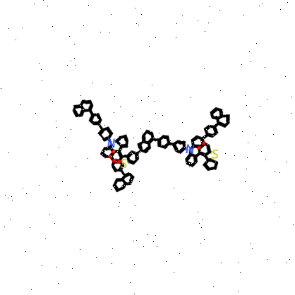 C1=Cc2c(sc3cccc(-c4ccccc4N(c4ccc(-c5ccc(-c6cccc7ccccc67)cc5)cc4)c4ccc(-c5ccc(-c6cccc7cc(-c8ccc9sc%10cccc(-c%11ccccc%11N(c%11ccc(-c%12ccc(-c%13cccc%14ccccc%13%14)cc%12)cc%11)c%11cccc(-c%12ccc(-c%13cccc%14ccccc%13%14)cc%12)c%11)c%10c9c8)ccc67)cc5)cc4)c23)CC1